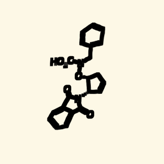 O=C(O)N(Cc1ccccc1)O[C@@H]1CC=C[C@@H]1N1C(=O)c2ccccc2C1=O